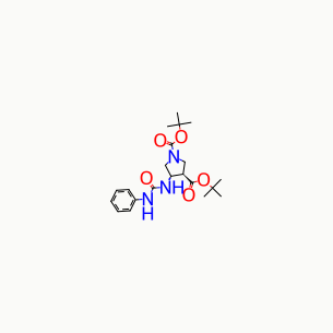 CC(C)(C)OC(=O)[C@@H]1CN(C(=O)OC(C)(C)C)C[C@@H]1NC(=O)Nc1ccccc1